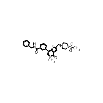 Cn1cc(-c2cccc(C(=O)NCc3ccccc3)c2)c2sc(CN3CCN(S(C)(=O)=O)CC3)cc2c1=O